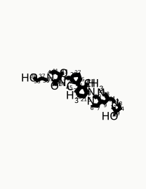 Cc1c(Nc2nccc3cc(CN4CC[C@@H](O)C4)cnc23)cccc1-c1cccc(-c2nc3c(=O)n(CCCO)ccc3o2)c1C